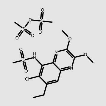 CCc1cc2nc(OC)c(OC)nc2c(NS(C)(=O)=O)c1Cl.CS(=O)(=O)OS(C)(=O)=O